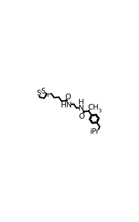 CC(C)Cc1ccc(C(C)C(=O)NCCNC(=O)CCCC[C@H]2CCSS2)cc1